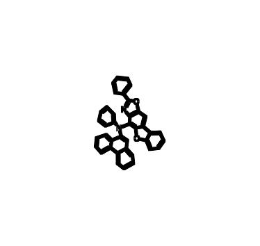 c1ccc(-c2nc3c(N(c4ccccc4)c4cc5ccccc5c5ccccc45)c4oc5ccccc5c4cc3o2)cc1